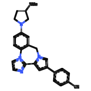 CNC1CCN(c2ccc3c(c2)Cn2cc(-c4ccc(C#N)cc4)cc2-c2nccn2-3)C1